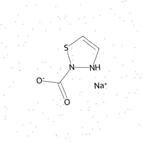 O=C([O-])N1NC=CS1.[Na+]